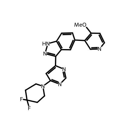 COc1ccncc1-c1ccc2[nH]nc(-c3cc(N4CCC(F)(F)CC4)ncn3)c2c1